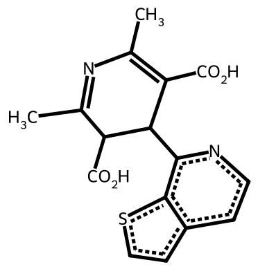 CC1=NC(C)=C(C(=O)O)C(c2nccc3ccsc23)C1C(=O)O